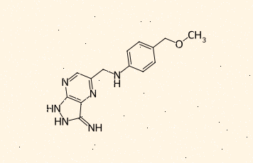 COCc1ccc(NCc2cnc3[nH][nH]c(=N)c3n2)cc1